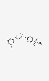 CC1(C)C(CNc2cncc(F)c2)C1c1ccc(S(N)(=O)=O)cc1